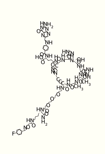 C[C@H](O)[C@H]1NC(=O)[C@@H](Cc2cnc[nH]2)NC(=O)[C@@H](CO)NC(=O)[C@@H](Cc2cnc[nH]2)NC(=O)[C@@H](NC(=O)CC[C@H](NC(=O)c2ccc(NCc3cnc4nc(N)[nH]c(=O)c4n3)cc2)C(=O)O)Cc2cn(nn2)CCCC[C@@H](C(=O)NCCOCCOCCOCC(=O)N[C@@H](CCCCNC(=O)CO/N=C/c2ccc(F)cc2)C(N)=O)NC(=O)[C@@H](C)NC1=O